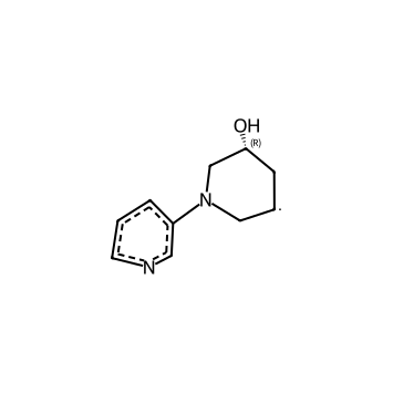 O[C@@H]1C[CH]CN(c2cccnc2)C1